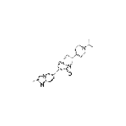 Cc1cn2cc(C3=C\C(=O)N4C=C(C5=CCN(C(C)C)CC5)C=C\C4=C/C=C/3)ccc2n1